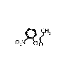 CCC=O.O=[N+]([O-])c1ccccc1Cl